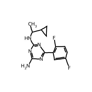 CC(Nc1nc(N)nc(-c2cc(F)ccc2F)n1)C1CC1